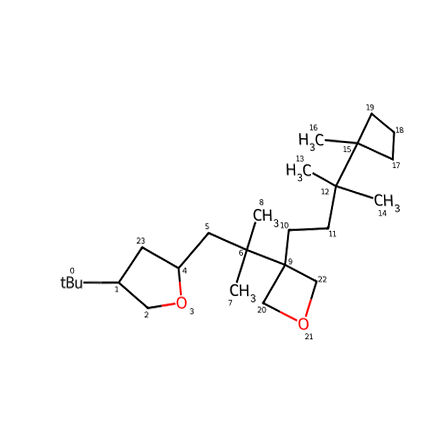 CC(C)(C)C1COC(CC(C)(C)C2(CCC(C)(C)C3(C)CCC3)COC2)C1